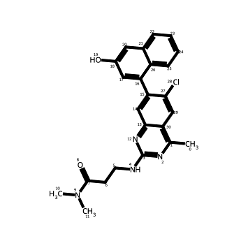 Cc1nc(NCCC(=O)N(C)C)nc2cc(-c3cc(O)cc4ccccc34)c(Cl)cc12